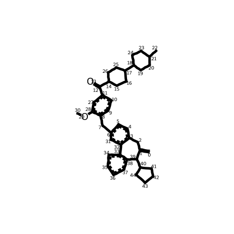 C=C1Cc2ccc(Cc3ccc(C(=O)C4CCC(C5CCC(C)CC5)CC4)cc3OC)cc2-c2ccccc2C1C1CCCC1